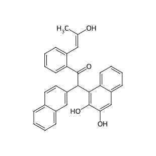 C/C(O)=C\c1ccccc1C(=O)C(c1ccc2ccccc2c1)c1c(O)c(O)cc2ccccc12